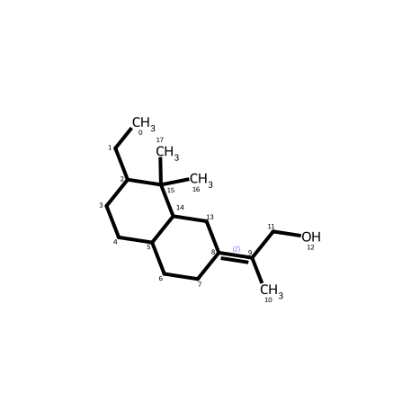 CCC1CCC2CC/C(=C(\C)CO)CC2C1(C)C